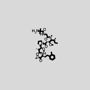 CC[C@H](C)[C@@H]([C@@H](CC(=O)N1CCC[C@H]1[C@H](OC)[C@@H](C)C(=O)N[C@@H](CCc1ccccc1C)C(=O)OC)OC)N(C)C(=O)CNC(=O)C(C)(C)N